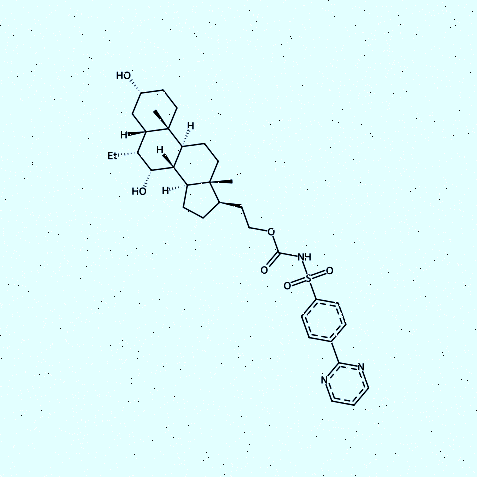 CC[C@H]1[C@@H](O)[C@@H]2[C@H](CC[C@]3(C)[C@@H](CCOC(=O)NS(=O)(=O)c4ccc(-c5ncccn5)cc4)CC[C@@H]23)[C@@]2(C)CC[C@@H](O)C[C@@H]12